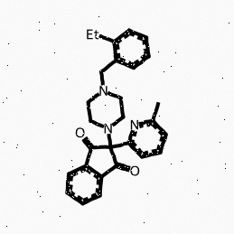 CCc1ccccc1CN1CCN(C2(c3cccc(C)n3)C(=O)c3ccccc3C2=O)CC1